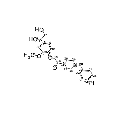 COc1cc(C(O)CO)ccc1OCC(=O)N1CCN(Cc2ccc(Cl)cc2)CC1